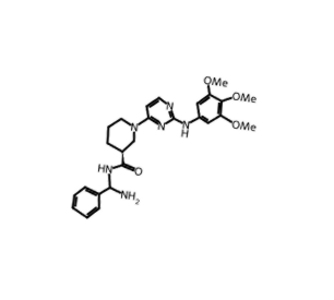 COc1cc(Nc2nccc(N3CCC[C@H](C(=O)NC(N)c4ccccc4)C3)n2)cc(OC)c1OC